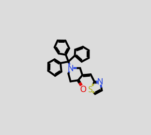 O=C1CCN(C(c2ccccc2)(c2ccccc2)c2ccccc2)C/C1=C/c1nccs1